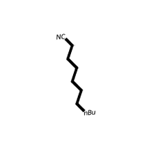 CCCCCCCCC[CH]C#N